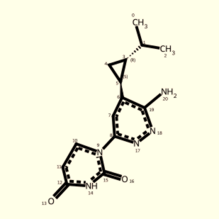 CC(C)[C@H]1C[C@@H]1c1cc(-n2ccc(=O)[nH]c2=O)nnc1N